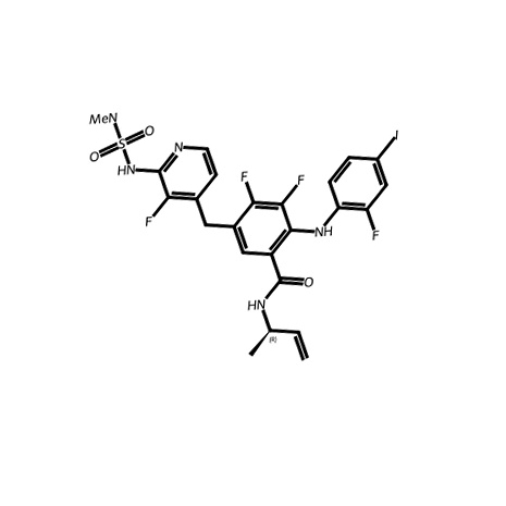 C=C[C@@H](C)NC(=O)c1cc(Cc2ccnc(NS(=O)(=O)NC)c2F)c(F)c(F)c1Nc1ccc(I)cc1F